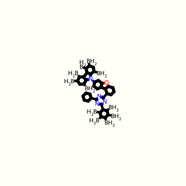 Bc1cc(B)c2c(c1B)c1c(B)c(B)cc(B)c1n2-c1ccc2c(c1)oc1cccc(-c3nc(-c4ccccc4)nc(-c4c(B)c(B)c(B)c(B)c4B)n3)c12